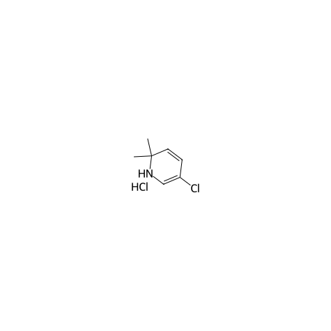 CC1(C)C=CC(Cl)=CN1.Cl